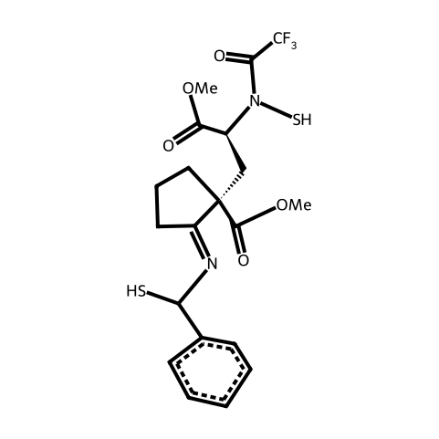 COC(=O)[C@H](C[C@@]1(C(=O)OC)CCC/C1=N\C(S)c1ccccc1)N(S)C(=O)C(F)(F)F